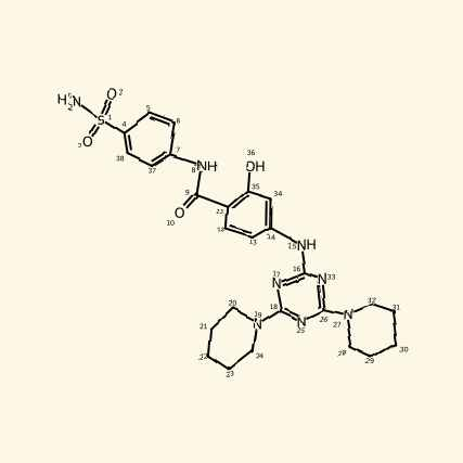 NS(=O)(=O)c1ccc(NC(=O)c2ccc(Nc3nc(N4CCCCC4)nc(N4CCCCC4)n3)cc2O)cc1